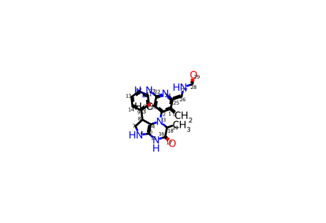 C=c1c(N2C3=C(NCC3c3ccccc3)NC(=O)C2C)c(C)c(N)nc1=CNC=O